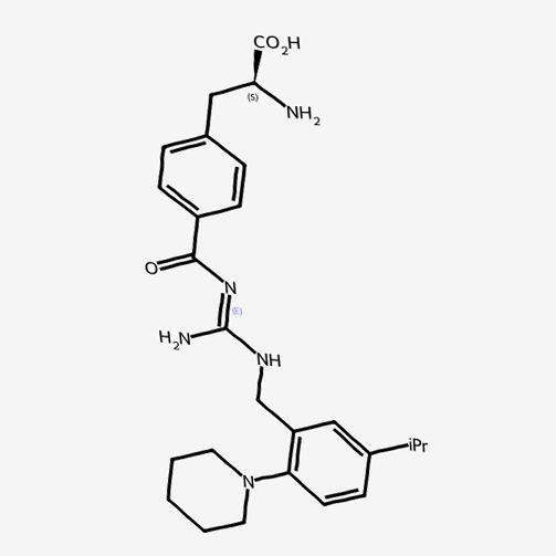 CC(C)c1ccc(N2CCCCC2)c(CN/C(N)=N/C(=O)c2ccc(C[C@H](N)C(=O)O)cc2)c1